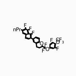 CCCc1cc2ccc(-c3ccc4c(c3)CCC(C(F)(F)Oc3cc(F)c(OC(F)(F)F)c(F)c3)O4)c(F)c2c(F)c1F